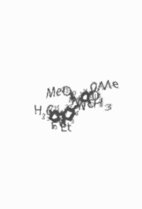 CCn1c2ccc(-c3nc4c(C)c(C(=O)OC)ccc4n3CCOC)cc2c2cc(C)cc(F)c21